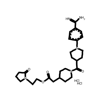 Cl.Cl.N=C(N)c1ccc(N2CCC(C(=O)N3CCC(CC(=O)OCCN4CCCC4=O)CC3)CC2)cc1